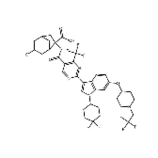 CC1CC2CC(C1)C(NC(=O)c1cnc(-c3cn(C4CCC(F)(F)CC4)c4cc(OC5CCN(CC(F)(F)F)CC5)ccc34)nc1C(F)(F)F)(C(=O)O)C2